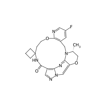 C[C@@H]1COc2cn3ncc4c3nc2N1Cc1cc(F)cnc1OCCC1(CCC1)NC4=O